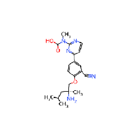 CC(C)C[C@](C)(N)COc1ccc(-c2ccnc(N(C)C(=O)O)n2)cc1C#N